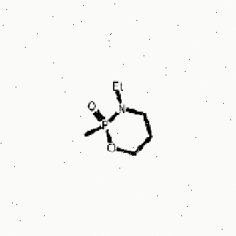 CCN1CCCOP1(C)=O